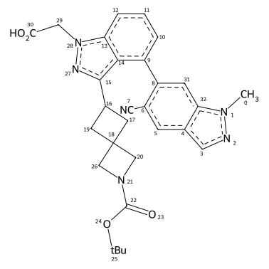 Cn1ncc2cc(C#N)c(-c3cccc4c3c(C3CC5(C3)CN(C(=O)OC(C)(C)C)C5)nn4CC(=O)O)cc21